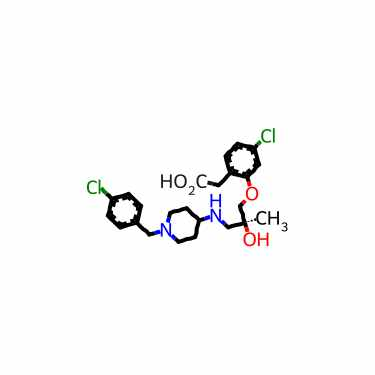 C[C@](O)(CNC1CCN(Cc2ccc(Cl)cc2)CC1)COc1cc(Cl)ccc1CC(=O)O